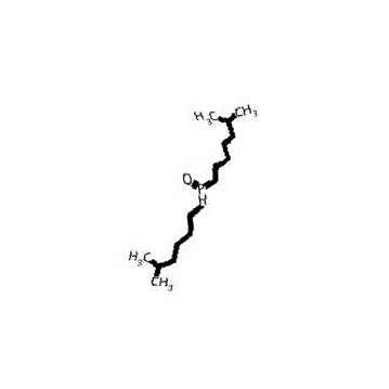 CC(C)CCCCC[PH](=O)CCCCCC(C)C